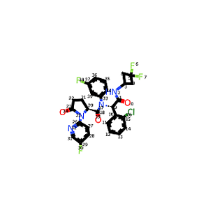 O=C(NC1CC(F)(F)C1)[C@H](c1ccccc1Cl)N(C(=O)[C@@H]1CCC(=O)N1c1ccc(F)cn1)c1cccc(F)c1